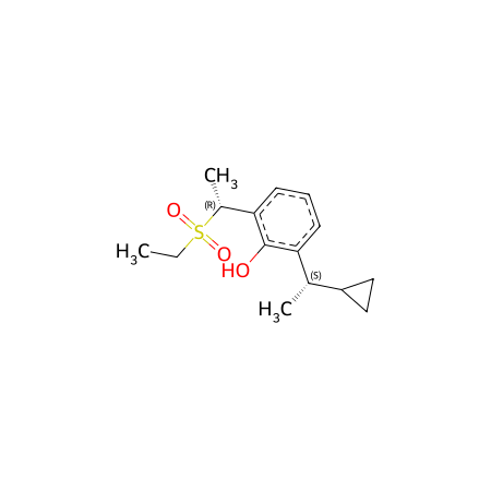 CCS(=O)(=O)[C@H](C)c1cccc([C@@H](C)C2CC2)c1O